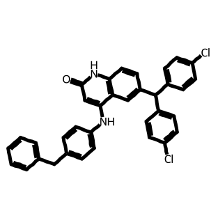 O=c1cc(Nc2ccc(Cc3ccccc3)cc2)c2cc(C(c3ccc(Cl)cc3)c3ccc(Cl)cc3)ccc2[nH]1